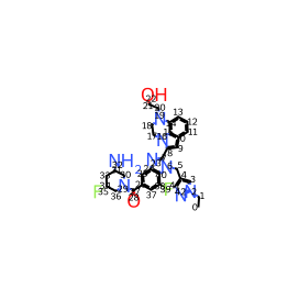 CCn1cc(Cn2c(-c3cc4cccc5c4n3CCN5CCO)nc3cc(C(=O)N4C[C@H](N)C[C@@H](F)C4)cc(F)c32)cn1